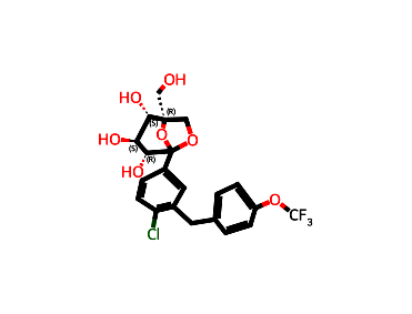 OC[C@]12COC(c3ccc(Cl)c(Cc4ccc(OC(F)(F)F)cc4)c3)(O1)[C@H](O)[C@@H](O)[C@@H]2O